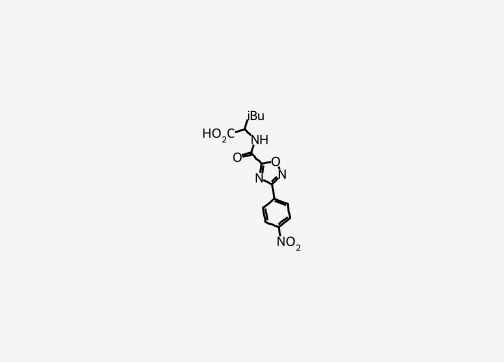 CCC(C)C(NC(=O)c1nc(-c2ccc([N+](=O)[O-])cc2)no1)C(=O)O